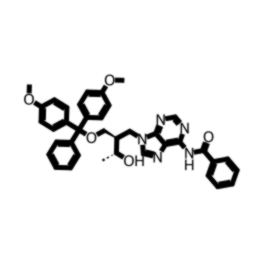 COc1ccc(C(OC[C@@H](Cn2cnc3c(NC(=O)c4ccccc4)ncnc32)[C@@H](C)O)(c2ccccc2)c2ccc(OC)cc2)cc1